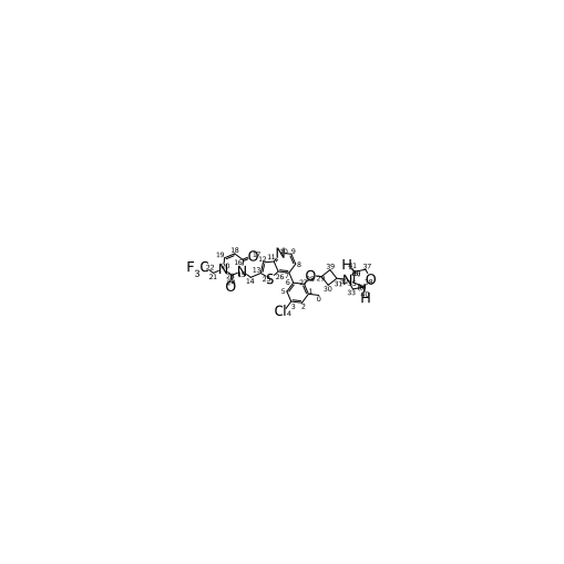 Cc1cc(Cl)cc(-c2ccnc3cc(Cn4c(=O)ccn(CC(F)(F)F)c4=O)sc23)c1OC1CC(N2C[C@@H]3C[C@H]2CO3)C1